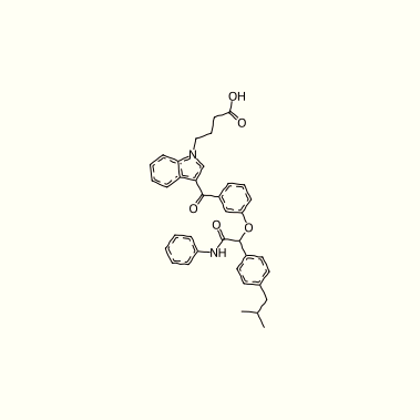 CC(C)Cc1ccc(C(Oc2cccc(C(=O)c3cn(CCCC(=O)O)c4ccccc34)c2)C(=O)Nc2ccccc2)cc1